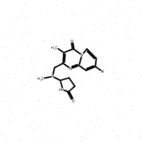 Cc1c(CN(C)C2CCC(=O)N2)nc2cc(Br)ccn2c1=O